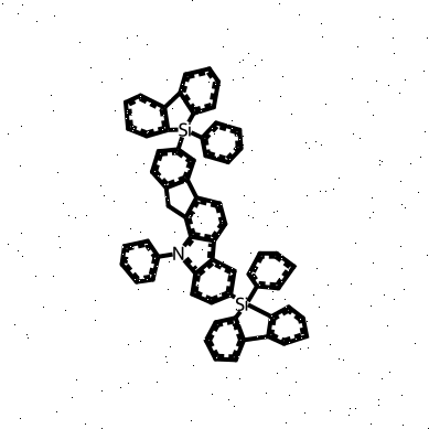 c1ccc(-n2c3ccc([Si]4(c5ccccc5)c5ccccc5-c5ccccc54)cc3c3ccc4c(c32)Cc2ccc([Si]3(c5ccccc5)c5ccccc5-c5ccccc53)cc2-4)cc1